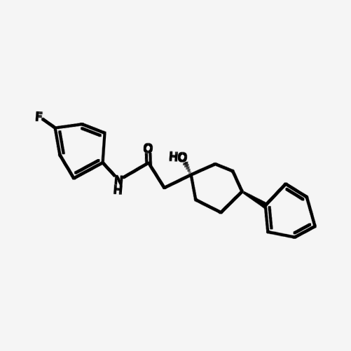 O=C(C[C@]1(O)CC[C@H](c2ccccc2)CC1)Nc1ccc(F)cc1